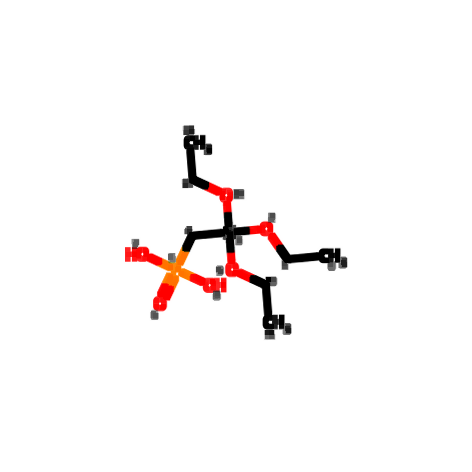 CCO[Si](CP(=O)(O)O)(OCC)OCC